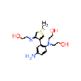 C=S1C=C(c2cc(N)ccc2N(CCO)CCO)C(=NCCO)C1